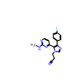 CNc1nccc(-c2c(-c3ccc(F)cc3)ncn2CCC#N)n1